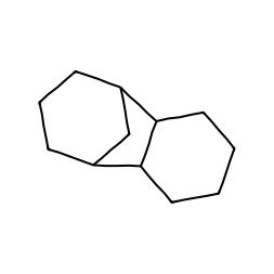 C1CC2CC(C1)C1CCCCC21